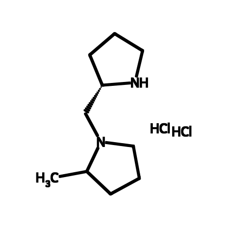 CC1CCCN1C[C@@H]1CCCN1.Cl.Cl